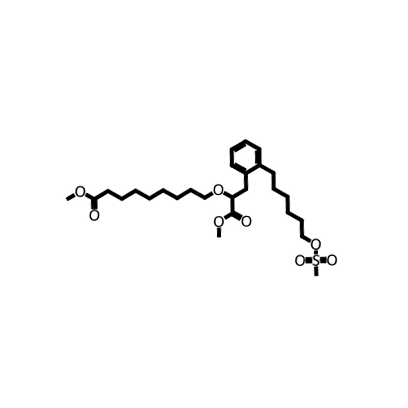 COC(=O)CCCCCCCCOC(Cc1ccccc1CCCCCCOS(C)(=O)=O)C(=O)OC